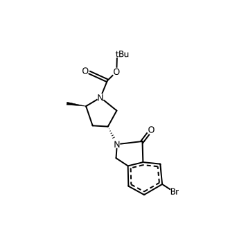 C[C@@H]1C[C@@H](N2Cc3ccc(Br)cc3C2=O)CN1C(=O)OC(C)(C)C